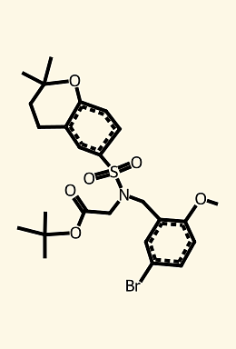 COc1ccc(Br)cc1CN(CC(=O)OC(C)(C)C)S(=O)(=O)c1ccc2c(c1)CCC(C)(C)O2